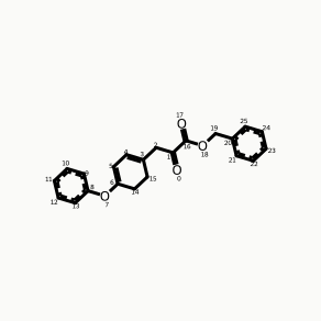 O=C(CC1=CC=C(Oc2ccccc2)CC1)C(=O)OCc1ccccc1